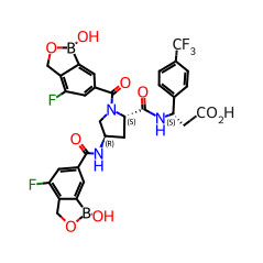 O=C(O)C[C@H](NC(=O)[C@@H]1C[C@@H](NC(=O)c2cc(F)c3c(c2)B(O)OC3)CN1C(=O)c1cc(F)c2c(c1)B(O)OC2)c1ccc(C(F)(F)F)cc1